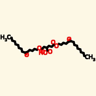 CCCCCCCCCC1OC1CCCCOC(=O)CCC(CC(=O)OCCCCC1OC1CCCCCCCCC)C(=O)O